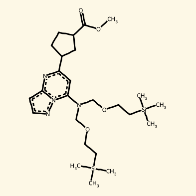 COC(=O)C1CCC(c2cc(N(COCC[Si](C)(C)C)COCC[Si](C)(C)C)n3nccc3n2)C1